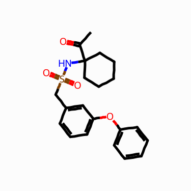 CC(=O)C1(NS(=O)(=O)Cc2cccc(Oc3ccccc3)c2)CCCCC1